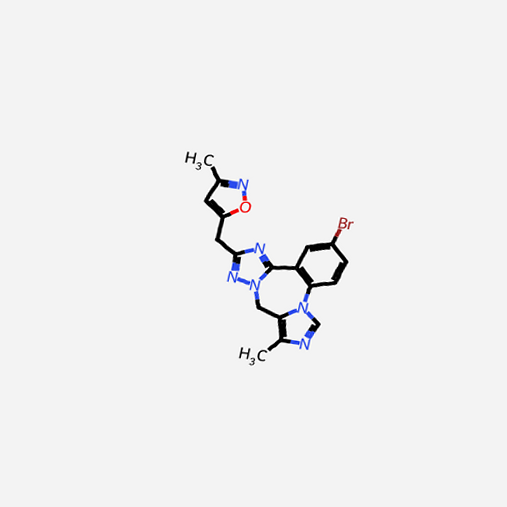 Cc1cc(Cc2nc3n(n2)Cc2c(C)ncn2-c2ccc(Br)cc2-3)on1